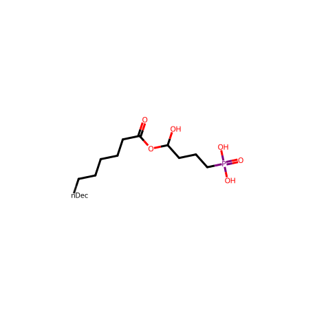 CCCCCCCCCCCCCCCC(=O)OC(O)CCCP(=O)(O)O